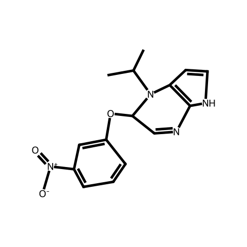 CC(C)N1c2cc[nH]c2N=CC1Oc1cccc([N+](=O)[O-])c1